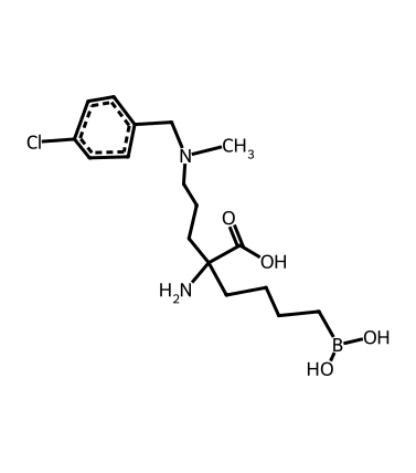 CN(CCCC(N)(CCCCB(O)O)C(=O)O)Cc1ccc(Cl)cc1